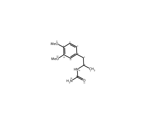 COc1ccc(CC(C)NC(N)=O)cc1OC